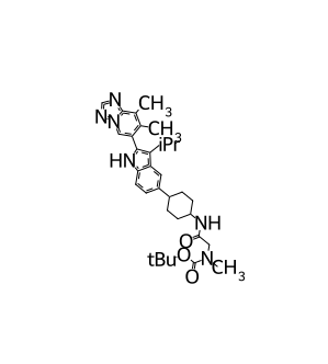 Cc1c(-c2[nH]c3ccc(C4CCC(NC(=O)CN(C)C(=O)OC(C)(C)C)CC4)cc3c2C(C)C)cn2ncnc2c1C